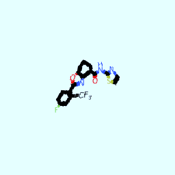 O=C(Nc1nccs1)c1cccc2oc(-c3ccc(F)cc3C(F)(F)F)nc12